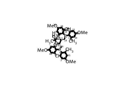 COc1ccc(P(C[C@@H]2OC(C)(C)O[C@H]2CP(c2c(C)cc(OC)cc2C)c2c(C)cc(OC)cc2C)c2c(C)cc(OC)cc2C)c(C)c1